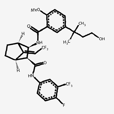 COc1ccc(C(C)(C)CCO)cc1C(=O)N[C@H]1[C@@H](C(=O)Nc2ccc(F)c(C(F)(F)F)c2)[C@H]2CC[C@@H]1/C2=C\C(F)(F)F